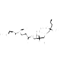 C/C=C\C(=O)N(C=O)CCC(=O)NCC(C)(C)COCC(C)(C)CC=O